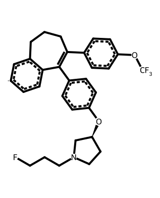 FCCCN1CC[C@H](Oc2ccc(C3=C(c4ccc(OC(F)(F)F)cc4)CCCc4c[c]ccc43)cc2)C1